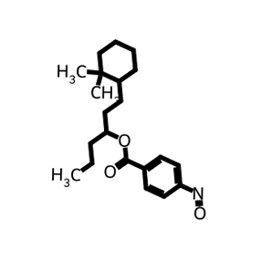 CCCC(CCC1CCCCC1(C)C)OC(=O)c1ccc(N=O)cc1